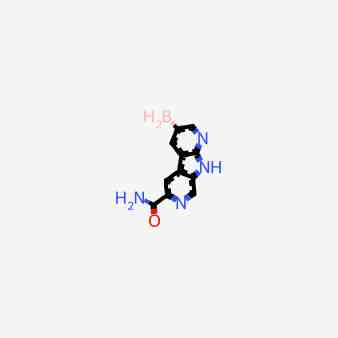 Bc1cnc2[nH]c3cnc(C(N)=O)cc3c2c1